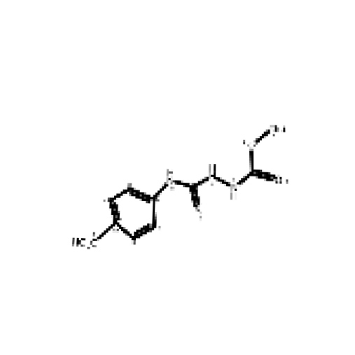 CC(C)(C)OC(=O)NNC(=S)Nc1ccc(C(=O)O)cc1